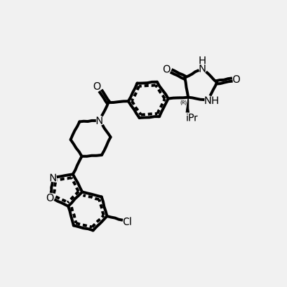 CC(C)[C@]1(c2ccc(C(=O)N3CCC(c4noc5ccc(Cl)cc45)CC3)cc2)NC(=O)NC1=O